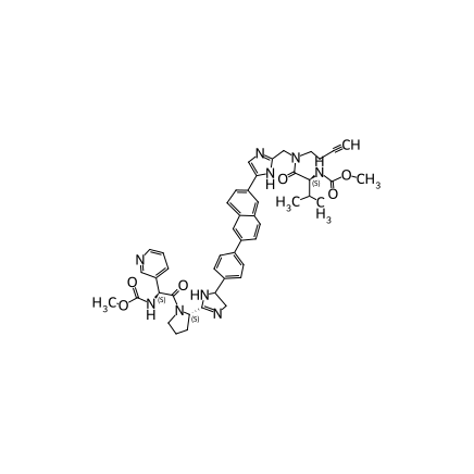 C#CCCN(Cc1ncc(-c2ccc3cc(-c4ccc(C5CN=C([C@@H]6CCCN6C(=O)[C@@H](NC(=O)OC)c6cccnc6)N5)cc4)ccc3c2)[nH]1)C(=O)[C@@H](NC(=O)OC)C(C)C